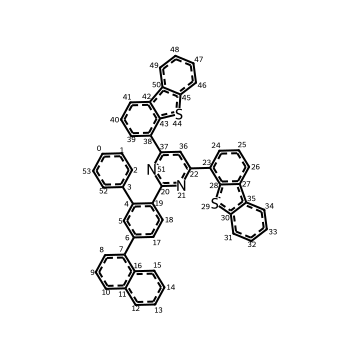 c1ccc(-c2cc(-c3cccc4ccccc34)ccc2-c2nc(-c3cccc4c3sc3ccccc34)cc(-c3cccc4c3sc3ccccc34)n2)cc1